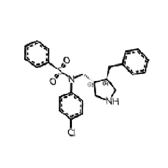 O=S(=O)(c1ccccc1)N(C[C@H]1CNC[C@@H]1Cc1ccccc1)c1ccc(Cl)cc1